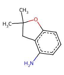 CC1(C)Cc2c(N)cccc2O1